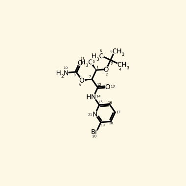 C[C@@H](OC(C)(C)C)[C@H](OC(N)=O)C(=O)Nc1cccc(Br)n1